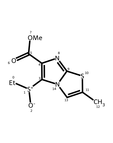 CC[S+]([O-])c1c(C(=O)OC)nc2sc(C)cn12